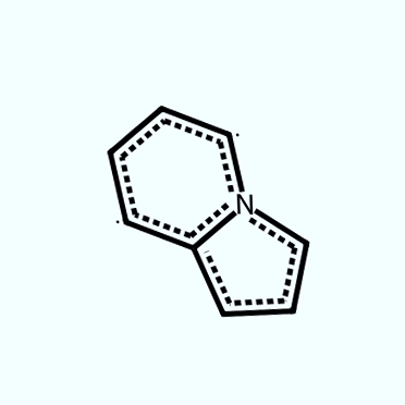 [c]1cc[c]n2cccc12